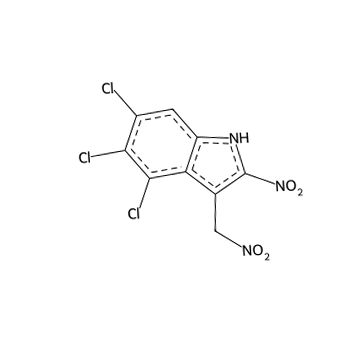 O=[N+]([O-])Cc1c([N+](=O)[O-])[nH]c2cc(Cl)c(Cl)c(Cl)c12